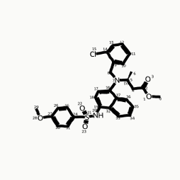 COC(=O)C[C@H](C)N(Cc1ccccc1Cl)c1ccc(NS(=O)(=O)c2ccc(OC)cc2)c2ccccc12